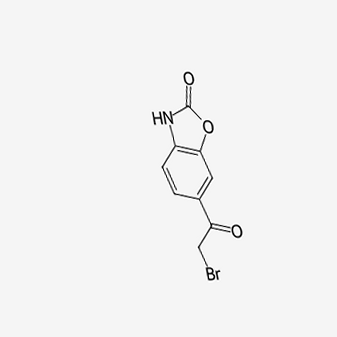 O=C(CBr)c1ccc2[nH]c(=O)oc2c1